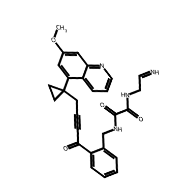 COc1cc(C2(CC#CC(=O)c3ccccc3CNC(=O)C(=O)NCC=N)CC2)c2cccnc2c1